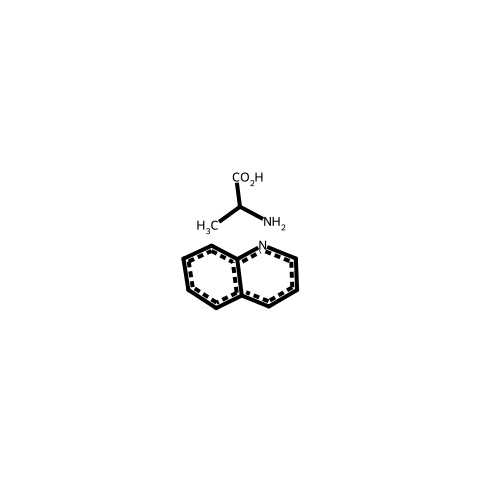 CC(N)C(=O)O.c1ccc2ncccc2c1